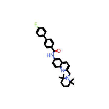 CC1(C)CCCC(C)(C)N1Cc1ccc2cc(NC(=O)c3ccc(-c4ccc(F)cc4)cc3)ccc2n1